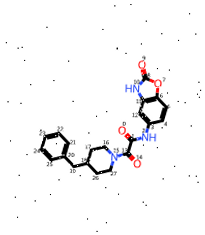 O=C(Nc1ccc2oc(=O)[nH]c2c1)C(=O)N1CCC(Cc2ccccc2)CC1